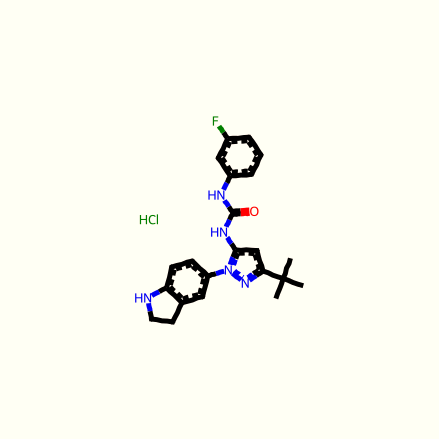 CC(C)(C)c1cc(NC(=O)Nc2cccc(F)c2)n(-c2ccc3c(c2)CCN3)n1.Cl